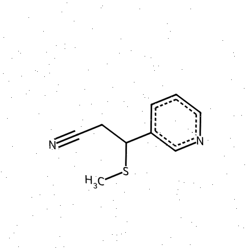 CSC(CC#N)c1cccnc1